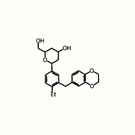 CCc1ccc(C2CC(O)CC(CO)O2)cc1Cc1ccc2c(c1)OCCO2